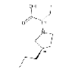 CCC[C@@H]1CCN([C@@H](CC)C(=O)O)C1